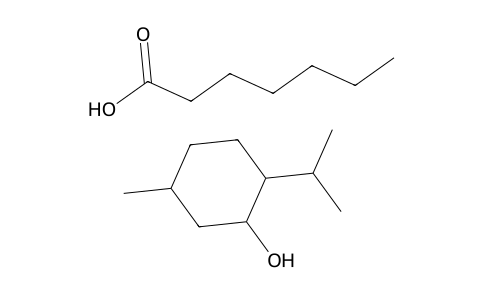 CC1CCC(C(C)C)C(O)C1.CCCCCCC(=O)O